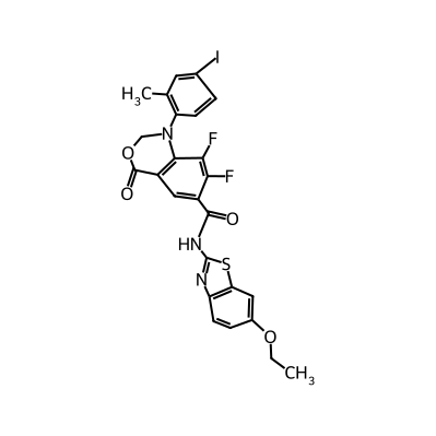 CCOc1ccc2nc(NC(=O)c3cc4c(c(F)c3F)N(c3ccc(I)cc3C)COC4=O)sc2c1